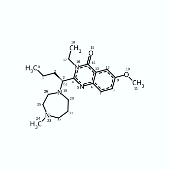 CCC[C@@H](c1nc2ccc(OC)cc2c(=O)n1CC)N1CCCN(C)CC1